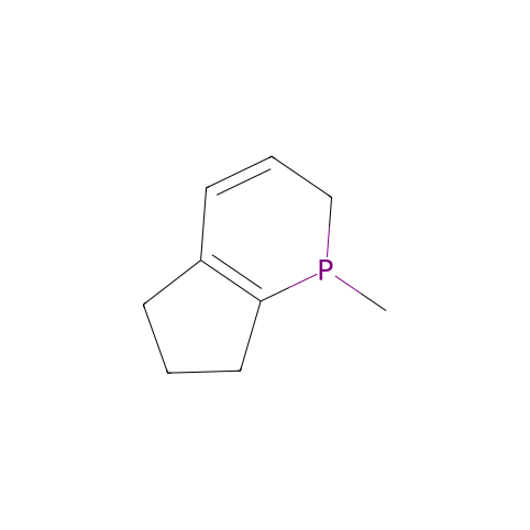 CP1CC=CC2=C1CCC2